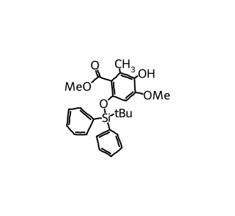 COC(=O)c1c(O[Si](c2ccccc2)(c2ccccc2)C(C)(C)C)cc(OC)c(O)c1C